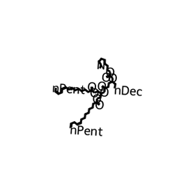 CCCCC/C=C\C/C=C\CCCCCCCC(=O)OCC(COC(=O)CCCCCCC/C=C\C/C=C\CCCCC)OC(=O)CCC(CCCCCCCCCCCC)OC(=O)OCCC1CCCN1C